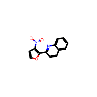 O=[N+]([O-])c1ccoc1-c1ccc2ccccc2n1